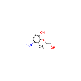 Cc1c(N)ccc(O)c1OCCO